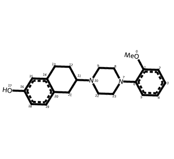 COc1ccccc1N1CCN(C2CCc3cc(O)ccc3C2)CC1